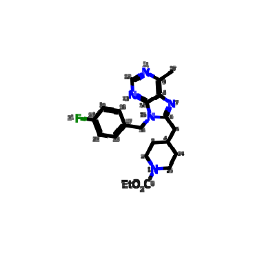 CCOC(=O)N1CCC(Cc2nc3c(C)ncnc3n2Cc2ccc(F)cc2)CC1